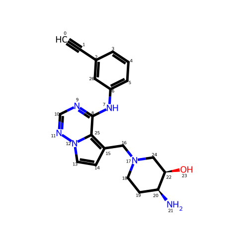 C#Cc1cccc(Nc2ncnn3ccc(CN4CC[C@H](N)[C@H](O)C4)c23)c1